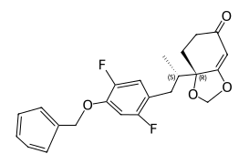 C[C@@H](Cc1cc(F)c(OCc2ccccc2)cc1F)[C@]12CCC(=O)C=C1OCO2